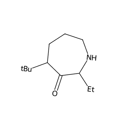 CCC1NCCCC(C(C)(C)C)C1=O